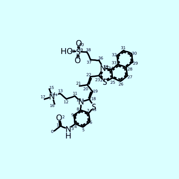 CC(=O)Nc1ccc2c(c1)N(CCC[N+](C)(C)C)/C(=C\C(C)=C/c1sc3ccc4ccccc4c3[n+]1CCCS(=O)(=O)O)S2